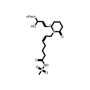 CCCCCC(O)/C=C/[C@H]1CCCC(=O)N1C/C=C\CCCC(=O)NS(C)(=O)=O